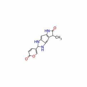 CC1C(=O)Nc2cc3c(cc21)NC(c1ccc(=O)oc1)N3